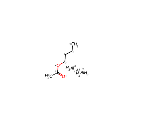 CCCCOC(C)=O.[AlH3].[AlH3].[AlH3]